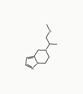 COCC(C)N1CCn2nccc2C1